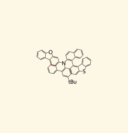 CC(C)(C)c1ccc(N(c2ccc3c(c2)oc2ccccc23)c2ccc3ccccc3c2-c2cccc3sc4ccccc4c23)c(-c2ccccc2)c1